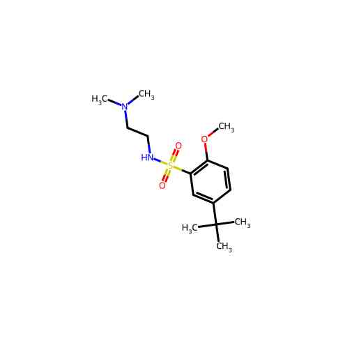 COc1ccc(C(C)(C)C)cc1S(=O)(=O)NCCN(C)C